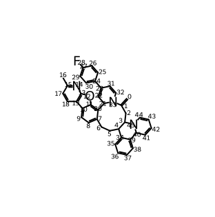 C=C1CC2C(CCc3ccc4c(oc5nc(C)ccc54)c3C3C=C(c4ccc(F)cc4)C=CN13)c1ccccc1C1C=CC=CN12